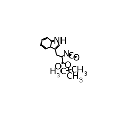 CC(C)(C)OC(=O)C(CC1=CNC2C=CC=CC12)N=C=O